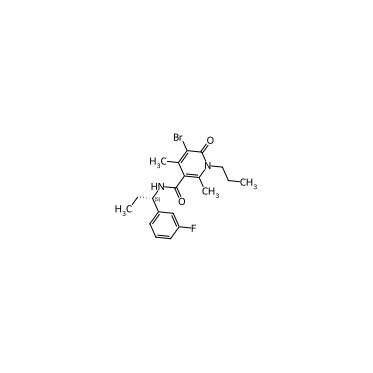 CCCn1c(C)c(C(=O)N[C@@H](CC)c2cccc(F)c2)c(C)c(Br)c1=O